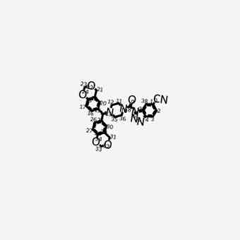 N#Cc1ccc2nnn(C(=O)N3CCN(C(c4ccc5c(c4)COCO5)c4ccc5c(c4)COCO5)CC3)c2c1